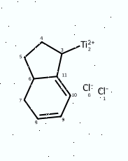 [Cl-].[Cl-].[Ti+2][CH]1CCC2CC=CC=C12